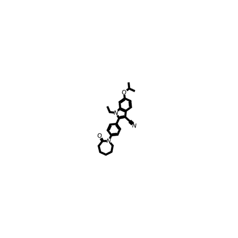 CCn1c(-c2ccc(N3CCCCCC3=O)cc2)c(C#N)c2ccc(OC(C)C)cc21